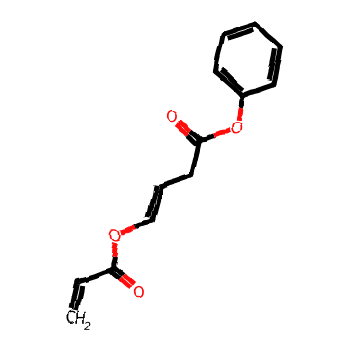 C=CC(=O)OC=CCC(=O)Oc1ccccc1